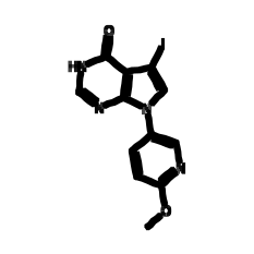 COc1ccc(-n2cc(I)c3c(=O)[nH]cnc32)cn1